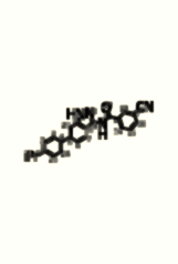 CC(C)c1ccc(-c2ccc3c(NC(=O)c4cccc(C#N)c4)n[nH]c3c2)cc1